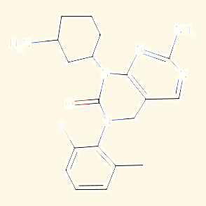 Cc1cccc(F)c1N1Cc2cnc(N)nc2N(C2CCCC(N)C2)C1=O